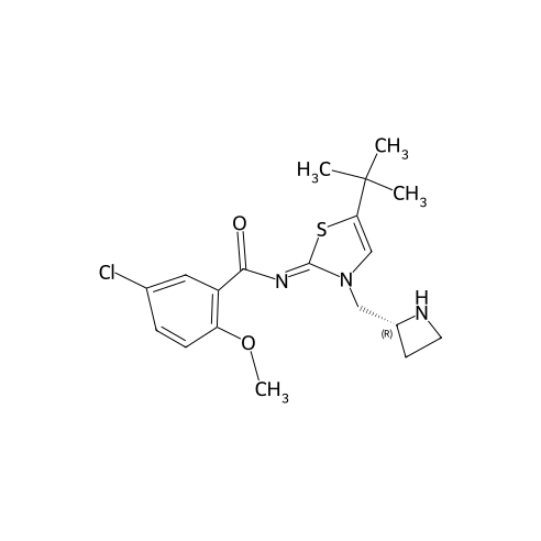 COc1ccc(Cl)cc1C(=O)N=c1sc(C(C)(C)C)cn1C[C@H]1CCN1